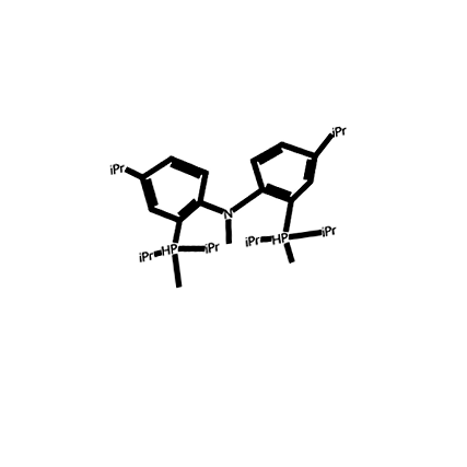 CC(C)c1ccc(N(C)c2ccc(C(C)C)cc2[PH](C)(C(C)C)C(C)C)c([PH](C)(C(C)C)C(C)C)c1